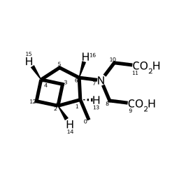 C[C@H]1[C@H]2C[C@@H](C[C@@H]1N(CC(=O)O)CC(=O)O)C2